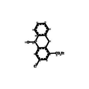 CCOC(=O)c1cc(Cl)cc2c1Cc1ccccc1[S+]2[O-]